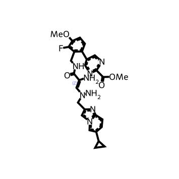 COC(=O)c1ncc(-c2ccc(OC)c(F)c2CNC(=O)/C(N)=C/N(N)Cc2cn3cc(C4CC4)ccc3n2)cn1